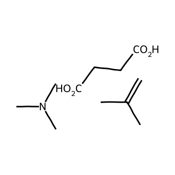 C=C(C)C.CN(C)C.O=C(O)CCC(=O)O